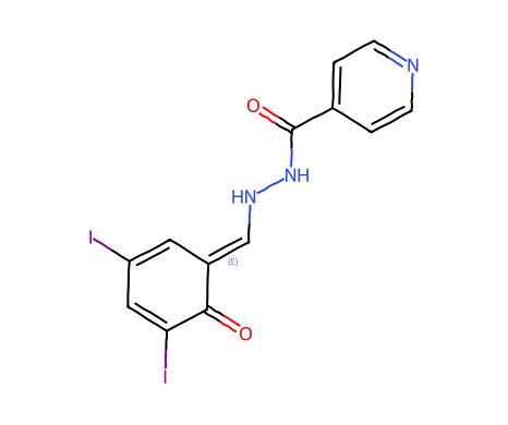 O=C1C(I)=CC(I)=C/C1=C\NNC(=O)c1ccncc1